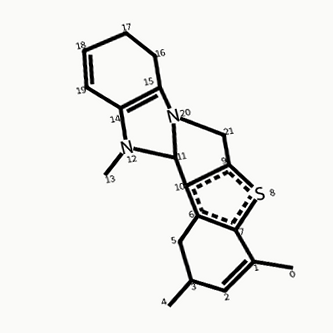 CC1=CC(C)Cc2c1sc1c2C2N(C)C3=C(CCC=C3)N2C1